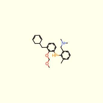 COCOc1c(CC2C=CC=CC2)cccc1Pc1c(C)cccc1CN(C)C